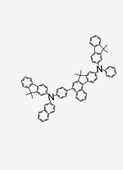 CC1(C)c2ccccc2-c2ccc(N(c3ccccc3)c3ccc4c(c3)C(C)(C)c3cc(-c5ccc(N(c6ccc7c(c6)C(C)(C)c6ccccc6-7)c6ccc7ccccc7c6)cc5)c5ccccc5c3-4)cc21